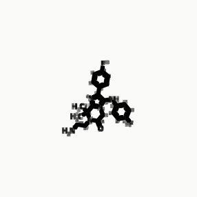 CC1(C)c2nc(-c3ccc(F)cc3)c(Nc3ccc(F)cc3)n2CC(=O)N1CCN